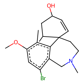 COc1cc(Br)c2c(c1C)C1(C=CC(O)CC1C)CCN(C)C2